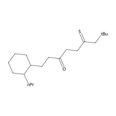 CCCC1CCCCC1CCC(=O)CCC(=S)CC(C)(C)C